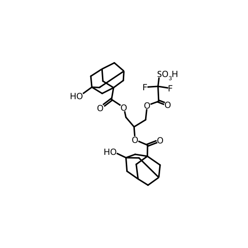 O=C(OCC(COC(=O)C(F)(F)S(=O)(=O)O)OC(=O)C12CC3CC(CC(O)(C3)C1)C2)C12CC3CC(CC(O)(C3)C1)C2